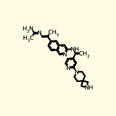 C=C(Nc1cc2cc(/C(C)=C/N=C(\C)N)ccc2cn1)c1ccnc(N2CCC3(CC2)CNC3)c1